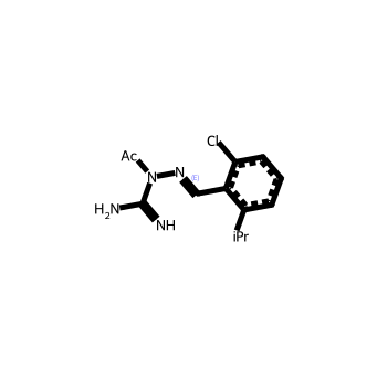 CC(=O)N(/N=C/c1c(Cl)cccc1C(C)C)C(=N)N